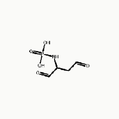 O=[C]CC([C]=O)NP(=O)(O)O